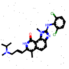 Cc1c(C=CCN(C)C(C)C)[nH]c(=O)c2c1ccc1nc(Nc3c(Cl)cccc3Cl)n(C)c12